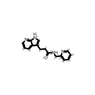 O=C(CCc1c[nH]c2ncccc12)NCc1ccccn1